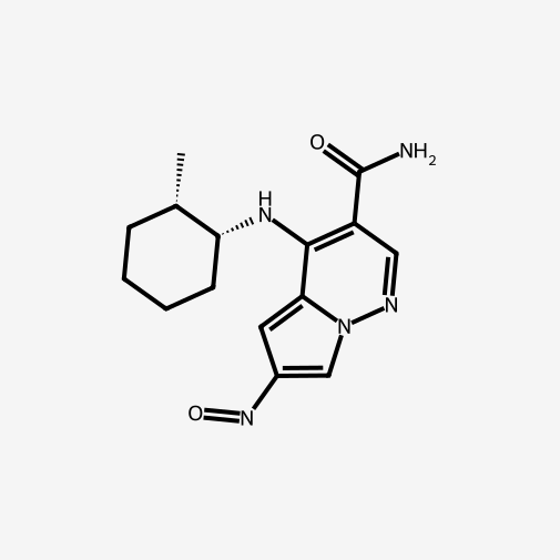 C[C@H]1CCCC[C@H]1Nc1c(C(N)=O)cnn2cc(N=O)cc12